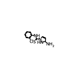 NC1C=CN(C(=S)Nc2ccccc2Cl)N1